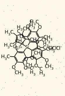 COc1c(C)c(OC)c([Si](c2c(OC)c(C)c(OC)c(OC)c2OC)(c2c(OC)c(C)c(OC)c(OC)c2OC)[C]2([Ti+3])C(C)=C(C)C(C)=C2C)c(OC)c1OC.[Cl-].[Cl-].[Cl-]